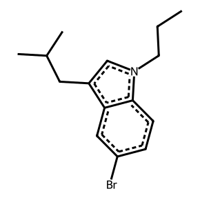 CCCn1cc(CC(C)C)c2cc(Br)ccc21